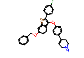 Fc1ccc(-c2sc3cc(OCc4ccccc4)ccc3c2Oc2ccc(C3=CCNCC3)cc2)cc1